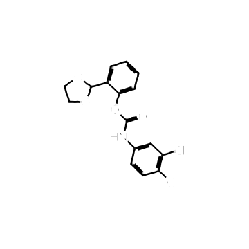 O=C(Nc1ccc(Cl)c(Cl)c1)Oc1ccccc1C1OCCO1